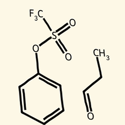 CCC=O.O=S(=O)(Oc1ccccc1)C(F)(F)F